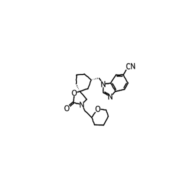 N#Cc1ccc2ncn(C[C@H]3CCC[C@]4(C3)CN(CC3CCCCO3)C(=O)O4)c2c1